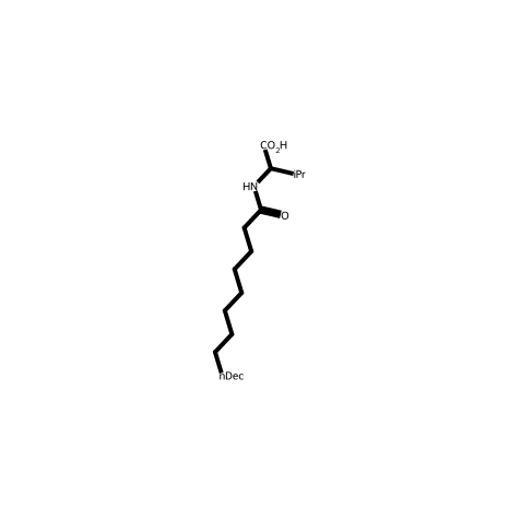 CCCCCCCCCCCCCCCCCC(=O)NC(C(=O)O)C(C)C